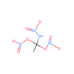 CC(N[N+](=O)[O-])(O[N+](=O)[O-])O[N+](=O)[O-]